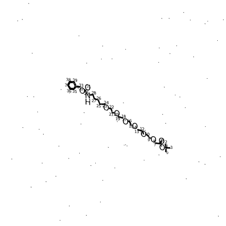 CC(C)(C)OC(=O)COCCOCCOCCOCCOCCOCCCCCNC(=O)OCc1ccccc1